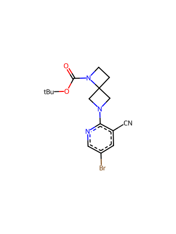 CC(C)(C)OC(=O)N1CCC12CN(c1ncc(Br)cc1C#N)C2